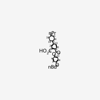 CCCCOc1ccc(OC(=O)c2ccc(C3CCC(CCC)CC3)cc2C(=O)O)cc1